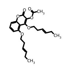 CCC=CCCOc1cccc2oc(=O)c(OC(C)=O)c(OCCC=CCC)c12